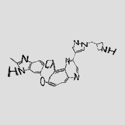 Cc1nc2ccc(Oc3ccc4ncc(-c5cnn(CC6CNC6)c5)nc4c3Cl)cc2[nH]1